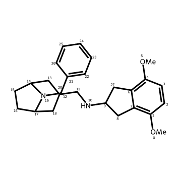 COc1ccc(OC)c2c1CC(NCC1CC3CCC(C1)N3Cc1ccccc1)C2